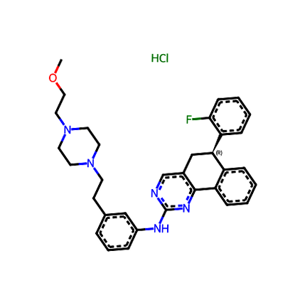 COCCN1CCN(CCc2cccc(Nc3ncc4c(n3)-c3ccccc3[C@H](c3ccccc3F)C4)c2)CC1.Cl